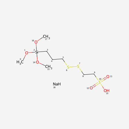 CO[Si](CCCSSCCS(=O)(=O)O)(OC)OC.[NaH]